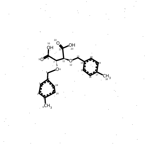 Cc1ccc(CO[C@H](C(=O)O)[C@H](OCc2ccc(C)cc2)C(=O)O)cc1